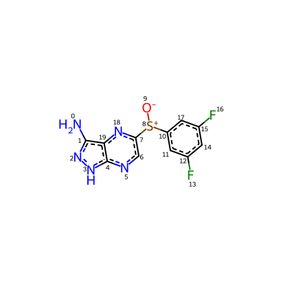 Nc1n[nH]c2ncc([S+]([O-])c3cc(F)cc(F)c3)nc12